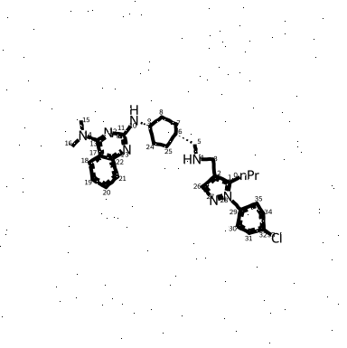 CCCc1c(CNC[C@H]2CC[C@@H](Nc3nc(N(C)C)c4ccccc4n3)CC2)cnn1-c1ccc(Cl)cc1